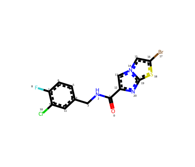 O=C(NCc1ccc(F)c(Cl)c1)c1cn2cc(Br)sc2n1